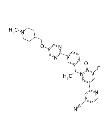 C[C@H](c1cccc(-c2ncc(OCC3CCN(C)CC3)cn2)c1)n1cc(-c2cc(C#N)ccn2)cc(F)c1=O